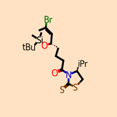 C/C(Br)=C\[C@H](CCCC(=O)N1C(=S)SC[C@@H]1C(C)C)O[Si](C)(C)C(C)(C)C